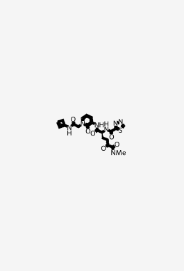 CNC(=O)C(=O)CC[C@H](NC(=O)c1nncs1)C(=O)Nc1cccn(CC(=O)NC23CC(C2)C3)c1=O